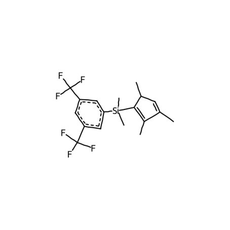 CC1=CC(C)C([Si](C)(C)c2cc(C(F)(F)F)cc(C(F)(F)F)c2)=C1C